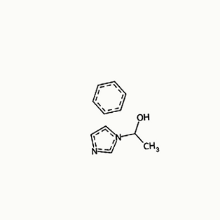 CC(O)n1ccnc1.c1ccccc1